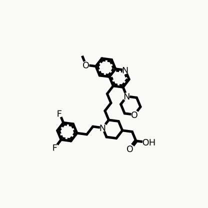 COc1ccc2ncc(N3CCOCC3)c(CCCC3CC(CC(=O)O)CCN3CCc3cc(F)cc(F)c3)c2c1